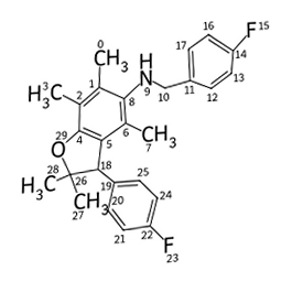 Cc1c(C)c2c(c(C)c1NCc1ccc(F)cc1)C(c1ccc(F)cc1)C(C)(C)O2